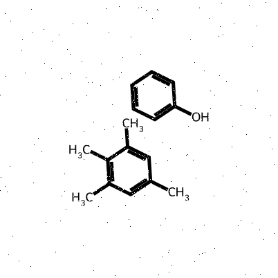 Cc1cc(C)c(C)c(C)c1.Oc1ccccc1